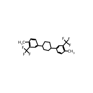 Cc1ccc(C2CCC(c3ccc(C)c(C(F)(F)F)c3)CC2)cc1C(F)(F)F